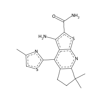 Cc1csc(-c2c3c(nc4sc(C(N)=O)c(N)c24)C(C)(C)CC3)n1